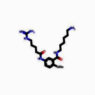 COc1ccc(NC(=O)CCCCNC(=N)N)cc1C(=O)NCCCCCCN